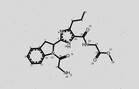 CCCc1nc(C2Cc3ccccc3N2C(=O)CN)[nH]c1C(=O)NCC(=O)OC